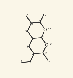 CCC1CC2CC(C)C(C)OC2OC1C